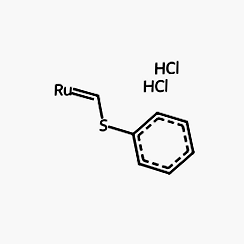 Cl.Cl.[Ru]=[CH]Sc1ccccc1